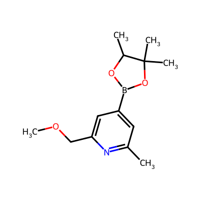 COCc1cc(B2OC(C)C(C)(C)O2)cc(C)n1